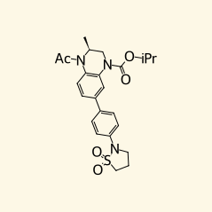 CC(=O)N1c2ccc(-c3ccc(N4CCCS4(=O)=O)cc3)cc2N(C(=O)OC(C)C)C[C@@H]1C